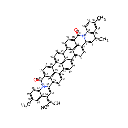 C=c1cc2c3ccc4c5ccc6c7ccc8c9c(ccc(c%10ccc(c%11ccc(c(=O)n2c2ccc(C)cc12)c3c%114)c5c%106)c79)c(=O)n1c2ccc(C)cc2c(=C(C#N)C#N)cc81